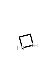 C1CPN1